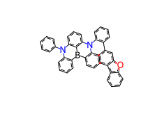 c1ccc(N2c3ccccc3B3c4ccccc4N(c4ccccc4-c4ccc5c(c4)oc4ccccc45)c4cccc2c43)cc1